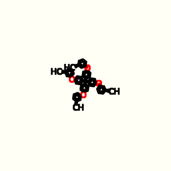 C#Cc1cccc(Oc2ccc(C(c3ccc(Oc4cccc(C#C)c4)cc3)(c3ccc(Oc4cccc(C#C)c4)cc3)c3ccc(Oc4cccc(C#C)c4)cc3)cc2)c1